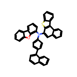 c1ccc2c(-c3ccc(N(c4cccc5c4oc4ccccc45)c4cc5ccccc5c5c4sc4ccccc45)cc3)cccc2c1